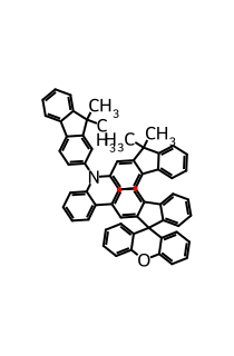 CC1(C)c2ccccc2-c2ccc(N(c3ccc4c(c3)C(C)(C)c3ccccc3-4)c3ccccc3-c3ccc4c(c3)C3(c5ccccc5Oc5ccccc53)c3ccccc3-4)cc21